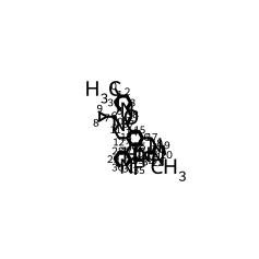 Cc1ccnc([C@H](C2CC2)N2CCc3c(cc(Cn4ccn(C)c4=N)cc3-c3cccnc3C(F)(F)F)C2=O)c1